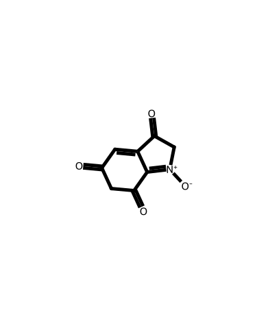 O=C1C=C2C(=O)C[N+]([O-])=C2C(=O)C1